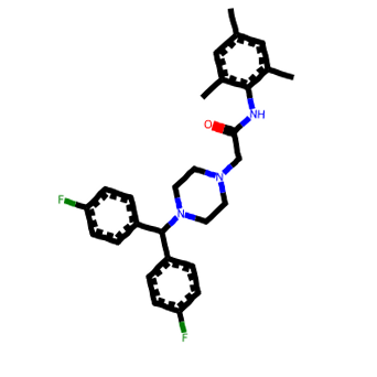 Cc1cc(C)c(NC(=O)CN2CCN(C(c3ccc(F)cc3)c3ccc(F)cc3)CC2)c(C)c1